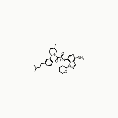 C[C@H]1CC[C@H](c2cccc(CCN(C)C)c2)N(C(=O)C(=O)Nc2cnc(N)c3cnn(C4CCCCO4)c23)C1